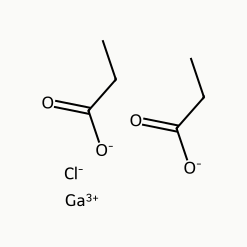 CCC(=O)[O-].CCC(=O)[O-].[Cl-].[Ga+3]